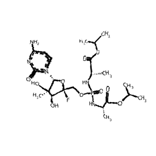 CC(C)OC(=O)[C@H](C)NP(=O)(N[C@@H](C)C(=O)OC(C)C)OC[C@@]1(F)O[C@@H](n2ccc(N)nc2=O)[C@](C)(O)[C@@H]1O